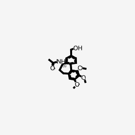 COc1cc2c(c(OC)c1OC)-c1ccc(CO)cc1[C@@H](NC(C)=O)CC2